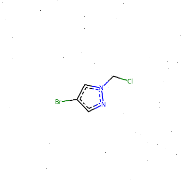 ClCn1cc(Br)cn1